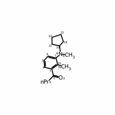 CCCC(=O)c1cccc(N(C)C2CCCC2)c1C